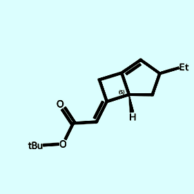 CCC1C=C2CC(=CC(=O)OC(C)(C)C)[C@H]2C1